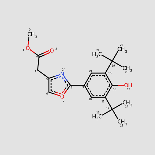 COC(=O)Cc1coc(-c2cc(C(C)(C)C)c(O)c(C(C)(C)C)c2)n1